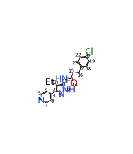 CCc1c(-c2ccncc2)n[nH]c1NC(=O)CCc1ccc(Cl)cc1